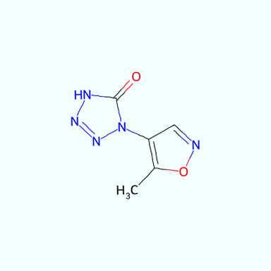 Cc1oncc1-n1nn[nH]c1=O